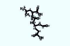 CC(C)C[C@H](NC(=O)N[C@@H](CCC(=O)O)OC=O)C(=O)O